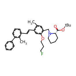 Cc1cc(CN2CCCC[C@H]2C(=O)OC(C)(C)C)c(OCCCF)cc1/C=C/c1cccc(-c2ccccc2)c1C